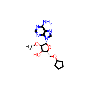 CO[C@@H]1[C@H](O)[C@@H](COC2CCCC2)O[C@H]1n1cnc2c(N)ncnc21